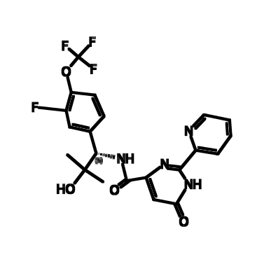 CC(C)(O)[C@@H](NC(=O)c1cc(=O)[nH]c(-c2ccccn2)n1)c1ccc(OC(F)(F)F)c(F)c1